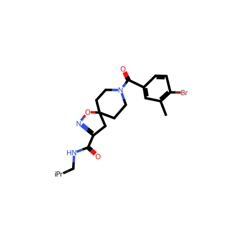 Cc1cc(C(=O)N2CCC3(CC2)CC(C(=O)NCC(C)C)=NO3)ccc1Br